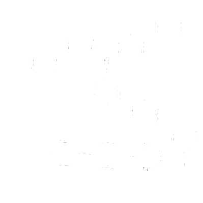 C1=CCCC(c2ccc(N(c3cccc(-c4ccccc4)c3)c3cccc(-c4ccc(-c5cccc6ccc7nc(-c8ccc(-c9ccccc9)cc8)oc7c56)cc4)c3)cc2)=C1